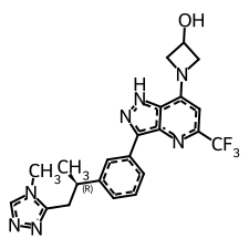 C[C@H](Cc1nncn1C)c1cccc(-c2n[nH]c3c(N4CC(O)C4)cc(C(F)(F)F)nc23)c1